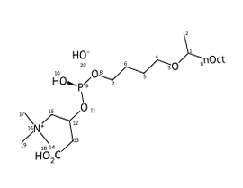 CCCCCCCCC(C)OCCCCO[P@](O)OC(CC(=O)O)C[N+](C)(C)C.[OH-]